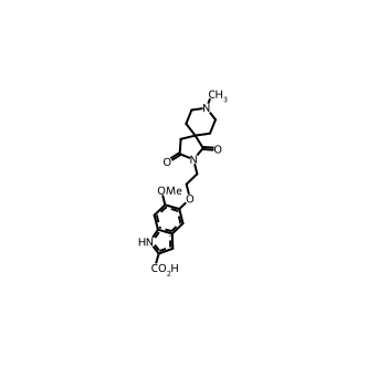 COc1cc2[nH]c(C(=O)O)cc2cc1OCCN1C(=O)CC2(CCN(C)CC2)C1=O